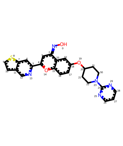 O/N=c1/cc(-c2cc3sccc3cn2)oc2ccc(OC3CCN(c4ncccn4)CC3)cc12